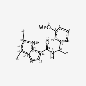 COc1cccc(C(C)NC(=O)c2ccn3c(C)cc(C)nc23)c1